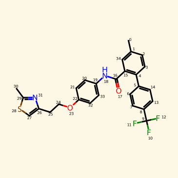 Cc1ccc(-c2ccc(C(F)(F)F)cc2)c(C(=O)Nc2ccc(OCCc3csc(C)n3)cc2)c1